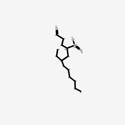 CCCCCCC(CC)CC(CCC=O)[N+](=O)[O-]